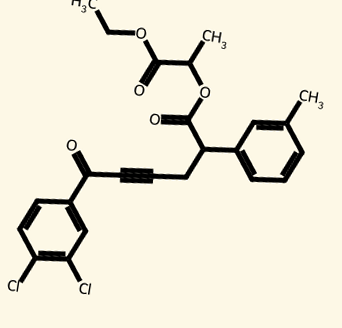 CCOC(=O)C(C)OC(=O)C(CC#CC(=O)c1ccc(Cl)c(Cl)c1)c1cccc(C)c1